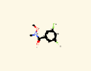 CON(C)C(=O)c1cc(F)cc(F)c1